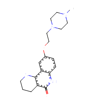 CCN1CCN(CCOc2ccc3[nH]c(=O)c4c(c3c2)NCCC4)CC1